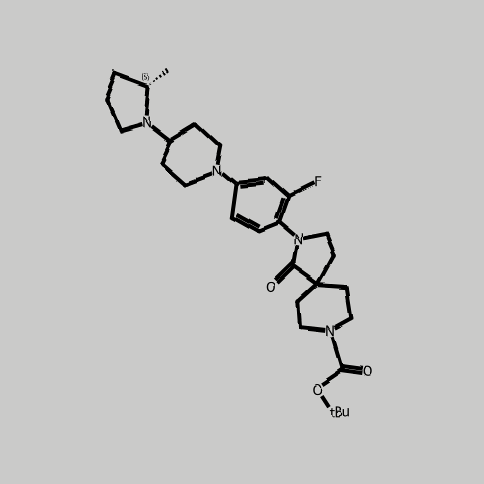 C[C@H]1CCCN1C1CCN(c2ccc(N3CCC4(CCN(C(=O)OC(C)(C)C)CC4)C3=O)c(F)c2)CC1